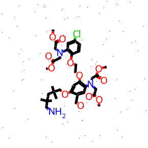 COC(=O)CN(CC(=O)OC)c1cc(Cl)ccc1OCCOc1cc(OCC(C)(C)CC(C)(C)CN)c(C=O)cc1N(CC(=O)OC)CC(=O)OC